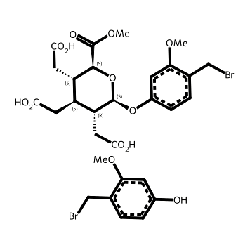 COC(=O)[C@H]1O[C@@H](Oc2ccc(CBr)c(OC)c2)[C@H](CC(=O)O)[C@@H](CC(=O)O)[C@@H]1CC(=O)O.COc1cc(O)ccc1CBr